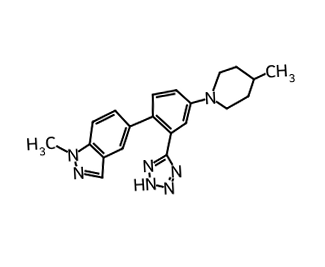 CC1CCN(c2ccc(-c3ccc4c(cnn4C)c3)c(-c3nn[nH]n3)c2)CC1